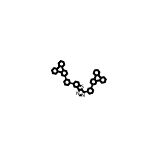 c1cc(-c2ccc3c4ccccc4c4ccccc4c3c2)cc(-c2ccc3sc4c(-c5cccc(-c6ccc7c8ccccc8c8ccccc8c7c6)c5)ncnc4c3c2)c1